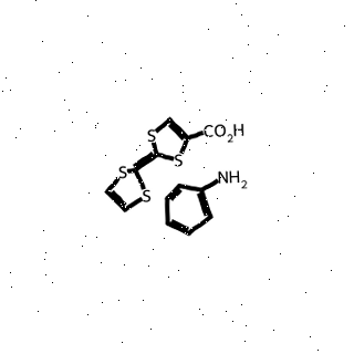 Nc1ccccc1.O=C(O)C1=CSC(=C2SC=CS2)S1